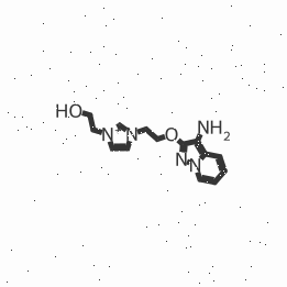 Nc1c(OCCn2cc[n+](CCO)c2)nn2ccccc12